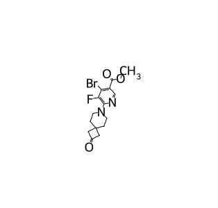 COC(=O)c1cnc(N2CCC3(CC2)CC(=O)C3)c(F)c1Br